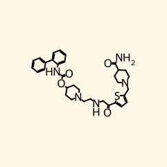 NC(=O)C1CCN(Cc2ccc(C(=O)CNCCN3CCC(OC(=O)Nc4ccccc4-c4ccccc4)CC3)s2)CC1